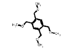 COCc1cc(COC)c(COC)cc1COC